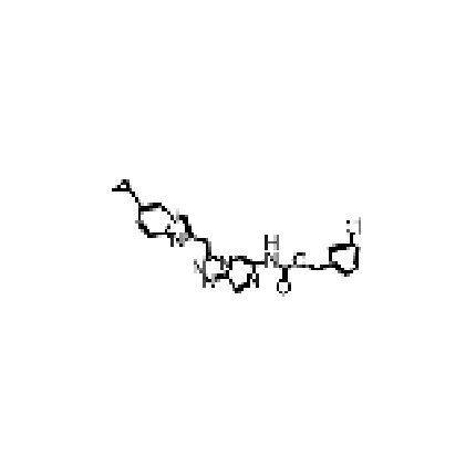 O=C(Nc1cn2c(Cc3cn4cc(C5CC5)ccc4n3)nnc2cn1)OCc1cccc(Cl)c1